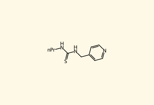 CCCNC(=S)NCc1ccncc1